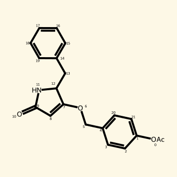 CC(=O)Oc1ccc(COC2=CC(=O)NC2Cc2ccccc2)cc1